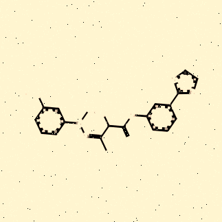 C/C(=N/N(C)c1cccc(C(=O)O)c1)C(C=O)C(=O)Nc1cccc(-c2ncc[nH]2)c1